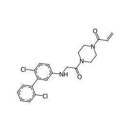 C=CC(=O)N1CCN(C(=O)CNc2ccc(Cl)c(-c3ccccc3Cl)c2)CC1